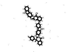 Cc1ccc(C2(C)c3ccccc3C(=O)n3c2nc2cc4c(cc23)[nH]c2cc(-c3cccc5c(=O)n6c(nc7cc8[nH]c9ccccc9c8cc76)sc35)ccc24)cc1